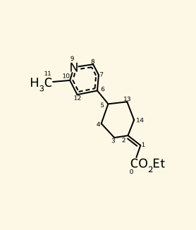 CCOC(=O)C=C1CCC(c2ccnc(C)c2)CC1